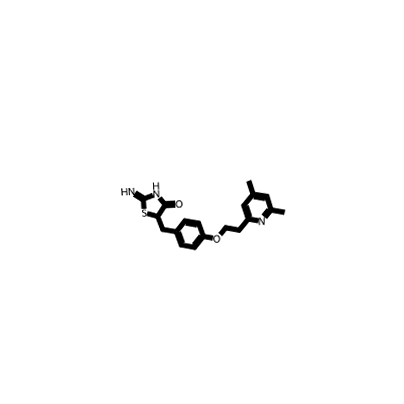 Cc1cc(C)nc(CCOc2ccc(CC3SC(=N)NC3=O)cc2)c1